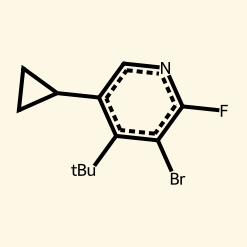 CC(C)(C)c1c(C2CC2)cnc(F)c1Br